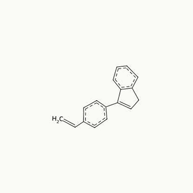 C=Cc1ccc(C2=CCc3ccccc32)cc1